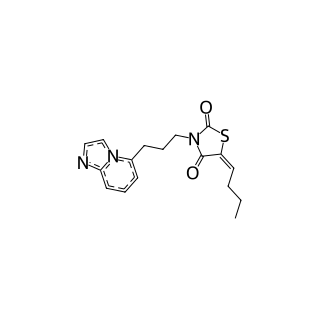 CCC/C=C1/SC(=O)N(CCCc2cccc3nccn23)C1=O